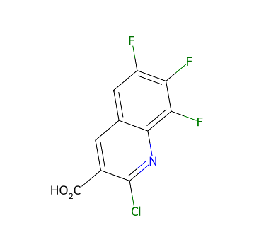 O=C(O)c1cc2cc(F)c(F)c(F)c2nc1Cl